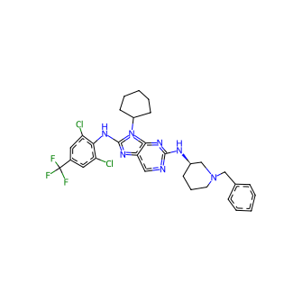 FC(F)(F)c1cc(Cl)c(Nc2nc3cnc(N[C@@H]4CCCN(Cc5ccccc5)C4)nc3n2C2CCCCC2)c(Cl)c1